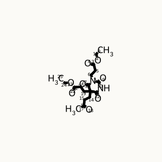 CCOC(=O)CCN1C(=O)NC(=O)C(CCC(C)=O)(CCC(=O)OCC)C1=O